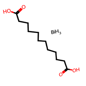 O=C(O)CCCCCCCCCCC(=O)O.[BiH3]